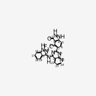 O=c1[nH][nH]c2ccc(-c3nc(Nc4n[nH]c5ccccc45)c4cccnc4n3)c(C(F)(F)F)c12